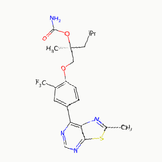 Cc1nc2c(-c3ccc(OC[C@](C)(CC(C)C)OC(N)=O)c(C(F)(F)F)c3)ncnc2s1